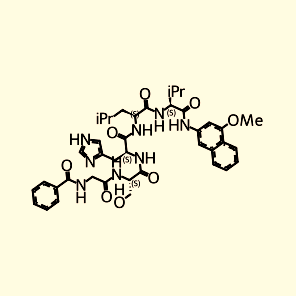 COc1cc(NC(=O)[C@@H](NC(=O)[C@H](CC(C)C)NC(=O)[C@H](Cc2c[nH]cn2)NC(=O)[C@H](CO)NC(=O)CNC(=O)c2ccccc2)C(C)C)cc2ccccc12